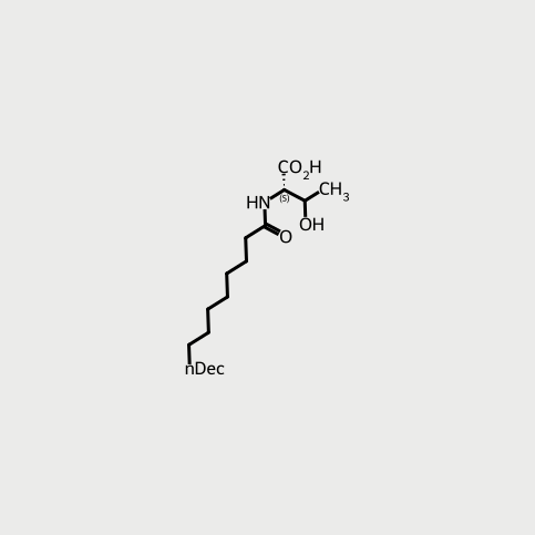 CCCCCCCCCCCCCCCCCC(=O)N[C@H](C(=O)O)C(C)O